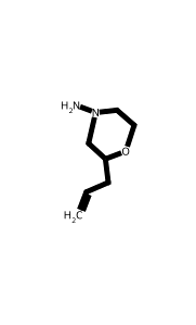 C=CCC1CN(N)CCO1